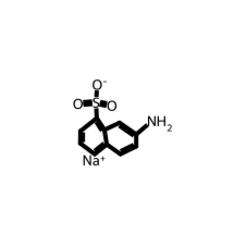 Nc1ccc2cccc(S(=O)(=O)[O-])c2c1.[Na+]